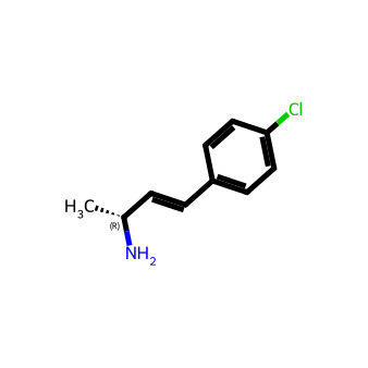 C[C@@H](N)C=Cc1ccc(Cl)cc1